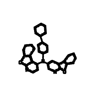 c1ccc(-c2ccc(N(c3cnc4oc5ccccc5c4c3)c3ccnc4oc5ccccc5c34)cc2)cc1